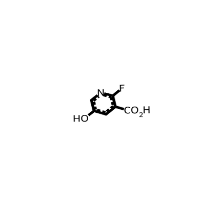 O=C(O)c1cc(O)cnc1F